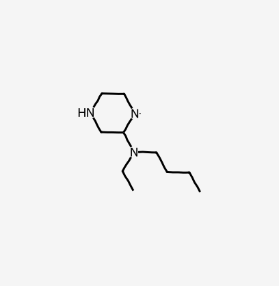 CCCCN(CC)C1CNCC[N]1